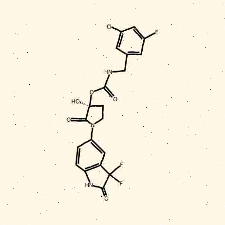 O=C(NCc1cc(F)cc(Cl)c1)O[C@@]1(O)CCN(c2ccc3c(c2)C(F)(F)C(=O)N3)C1=O